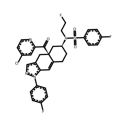 O=C(c1cc(Cl)ccn1)[C@]12Cc3cnn(-c4ccc(F)cc4)c3C=C1CC[C@H](N(CCF)S(=O)(=O)c1ccc(F)cc1)C2